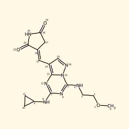 COCCNc1nc(NC2CC2)nc2c(/C=C3\CC(=O)NC3=O)cnn12